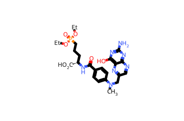 CCOP(=O)(CCC[C@H](NC(=O)c1ccc(N(C)Cc2cnc3nc(N)nc(O)c3n2)cc1)C(=O)O)OCC